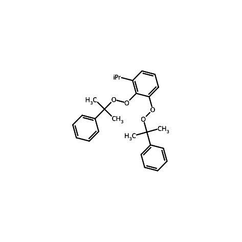 CC(C)c1cccc(OOC(C)(C)c2ccccc2)c1OOC(C)(C)c1ccccc1